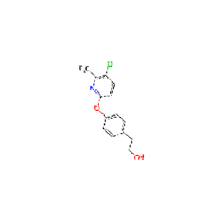 OCCc1ccc(Oc2ccc(Cl)c(C(F)(F)F)n2)cc1